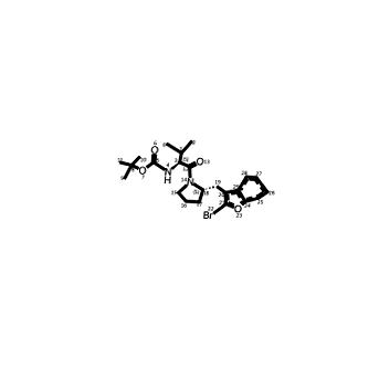 CC(C)[C@H](NC(=O)OC(C)(C)C)C(=O)N1CCC[C@H]1Cc1c(Br)oc2ccccc12